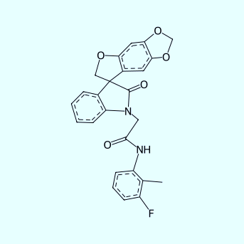 Cc1c(F)cccc1NC(=O)CN1C(=O)C2(COc3cc4c(cc32)OCO4)c2ccccc21